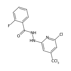 O=C(NNc1cc(C(Cl)(Cl)Cl)cc(Cl)n1)c1ccccc1F